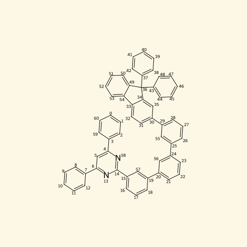 c1ccc(-c2cc(-c3ccccc3)nc(-c3cccc(-c4cccc(-c5cccc(-c6ccc7c(c6)C(c6ccccc6)(c6ccccc6)c6ccccc6-7)c5)c4)c3)n2)cc1